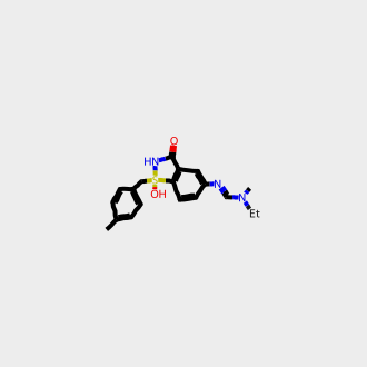 CCN(C)C=Nc1ccc2c(c1)C(=O)NS2(O)Cc1ccc(C)cc1